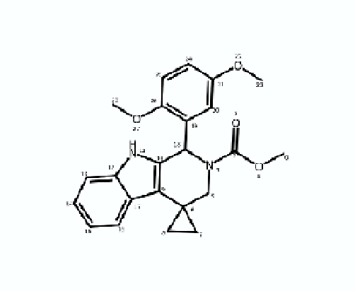 COC(=O)N1CC2(CC2)c2c([nH]c3ccccc23)C1c1cc(OC)ccc1OC